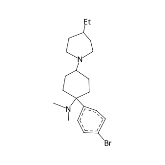 CCC1CCN(C2CCC(c3ccc(Br)cc3)(N(C)C)CC2)CC1